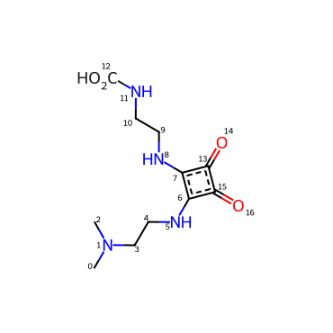 CN(C)CCNc1c(NCCNC(=O)O)c(=O)c1=O